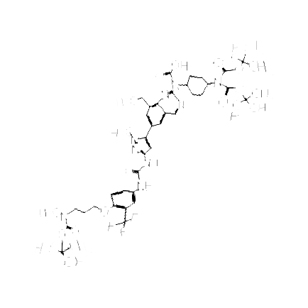 CCc1cc(-c2cc(NC(=O)Nc3ccc(OCCCN(C)C(=O)OC(C)(C)C)c(C(F)(F)F)c3)nn2C)cc2cnc(N(C(=O)O)C3CCC(N(C(=O)OC(C)(C)C)C(=O)OC(C)(C)C)CC3)nc12